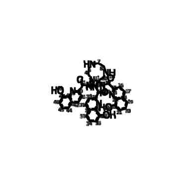 O=C(NN1CCNCCNCC1(NC(=O)c1ccc2cccc(O)c2n1)NC(=O)c1ccc2cccc(O)c2n1)c1ccc2cccc(O)c2n1